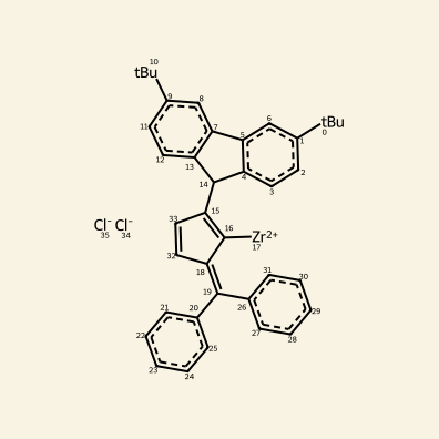 CC(C)(C)c1ccc2c(c1)-c1cc(C(C)(C)C)ccc1C2C1=[C]([Zr+2])C(=C(c2ccccc2)c2ccccc2)C=C1.[Cl-].[Cl-]